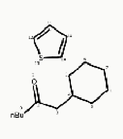 CCCCC(=O)CC1CCCCC1.c1ccsc1